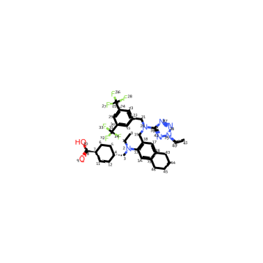 CCN(C[C@H]1CC[C@H](C(=O)O)CC1)c1cc2c(cc1CN(Cc1cc(C(F)(F)F)cc(C(F)(F)F)c1)c1nnn(CC)n1)CCCC2